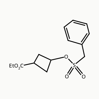 CCOC(=O)C1CC(OS(=O)(=O)Cc2ccccc2)C1